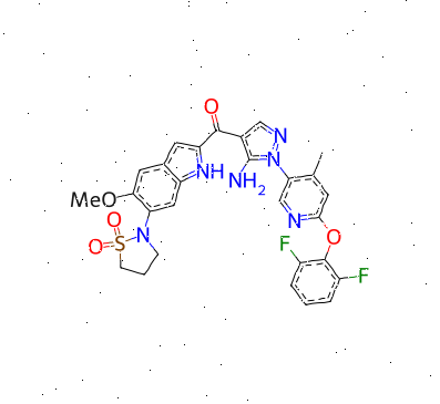 COc1cc2cc(C(=O)c3cnn(-c4cnc(Oc5c(F)cccc5F)cc4C)c3N)[nH]c2cc1N1CCCS1(=O)=O